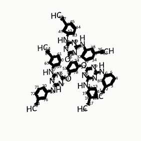 C#Cc1cccc(Nc2nc(Nc3cccc(C#C)c3)nc(Oc3cc(Oc4nc(Nc5cccc(C#C)c5)nc(Nc5cccc(C#C)c5)n4)cc(Oc4nc(Nc5cccc(C#C)c5)nc(Nc5cccc(C#C)c5)n4)c3)n2)c1